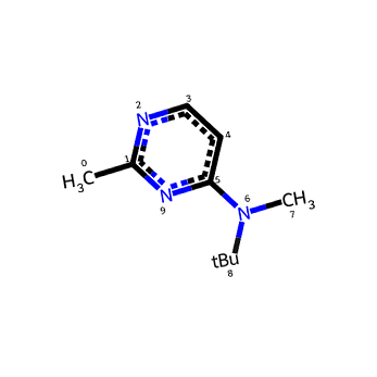 Cc1nccc(N(C)C(C)(C)C)n1